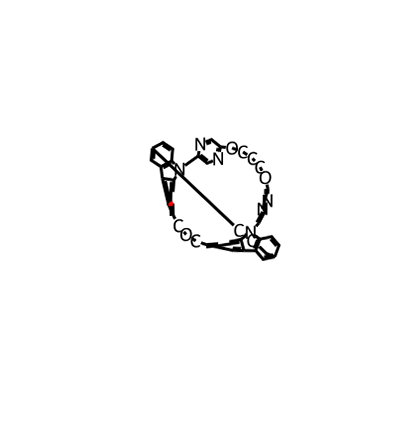 c1cc2c3cc1COCc1ccc4c(c1)c1cc5ccc1n4-c1cnc(cn1)OCCCOc1cnc(cn1)-n2c1ccc(cc31)COC5